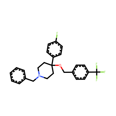 Fc1ccc(C2(OCc3ccc(C(F)(F)F)cc3)CCN(Cc3ccccc3)CC2)cc1